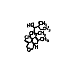 C=CC1=C2/C(=C\C)COC[C@H]2CC(C)=C1C(=C)/C=C(/O)[C@@H](C)CC